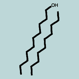 CCCCCCCCCC.CCCCCCCCCCO